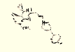 Cc1cccc2c(=O)[nH]c(CCCN3CC=C(c4ccc(F)cc4)CC3)nc12